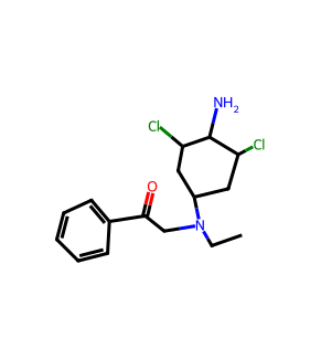 CCN(CC(=O)c1ccccc1)C1CC(Cl)C(N)C(Cl)C1